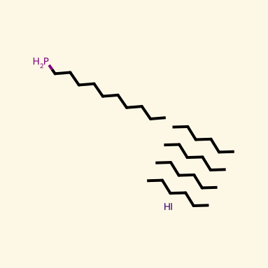 CCCCCC.CCCCCC.CCCCCC.CCCCCC.CCCCCCCCCCP.I